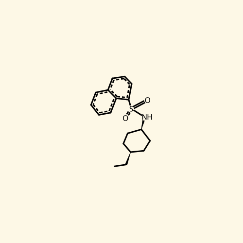 CC[C@H]1CC[C@@H](NS(=O)(=O)c2cccc3ccccc23)CC1